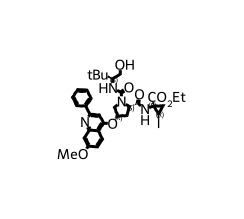 CCOC(=O)[C@@]1(NC(=O)[C@@H]2C[C@@H](Oc3cc(-c4ccccc4)nc4cc(OC)ccc34)CN2C(=O)N[C@H](CO)C(C)(C)C)C[C@H]1I